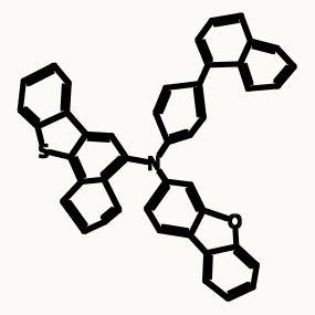 c1ccc2c(-c3ccc(N(c4ccc5c(c4)oc4ccccc45)c4cc5c6ccccc6sc5c5ccccc45)cc3)cccc2c1